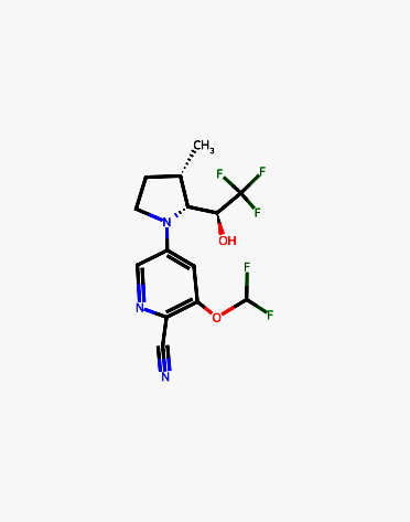 C[C@H]1CCN(c2cnc(C#N)c(OC(F)F)c2)[C@H]1[C@H](O)C(F)(F)F